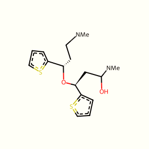 CNCC[C@H](O[C@@H](CC(O)NC)c1cccs1)c1cccs1